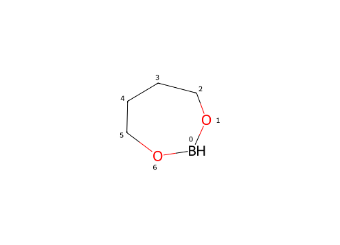 B1OCCCCO1